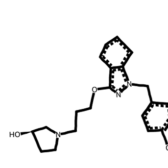 O[C@@H]1CCN(CCCOc2nn(Cc3ccc(Cl)cc3)c3ccccc23)C1